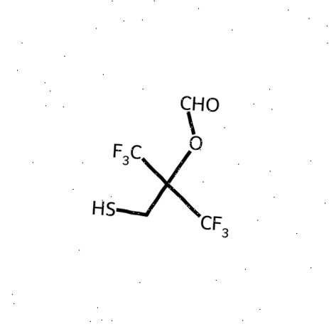 O=COC(CS)(C(F)(F)F)C(F)(F)F